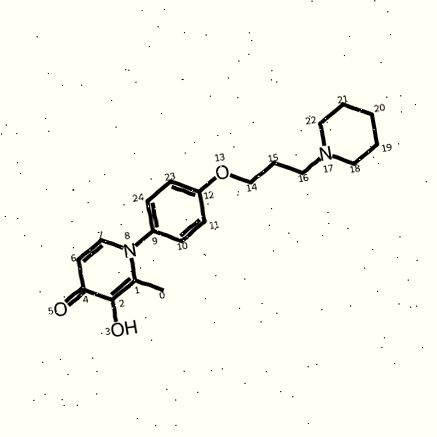 Cc1c(O)c(=O)ccn1-c1ccc(OCCCN2CCCCC2)cc1